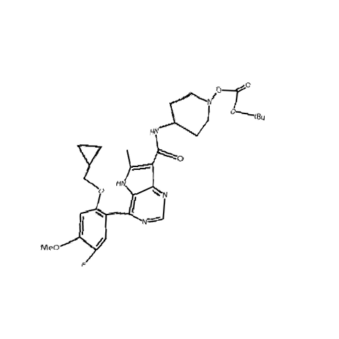 COc1cc(OCC2CC2)c(-c2ncnc3c(C(=O)NC4CCN(OC(=O)OC(C)(C)C)CC4)c(C)[nH]c23)cc1F